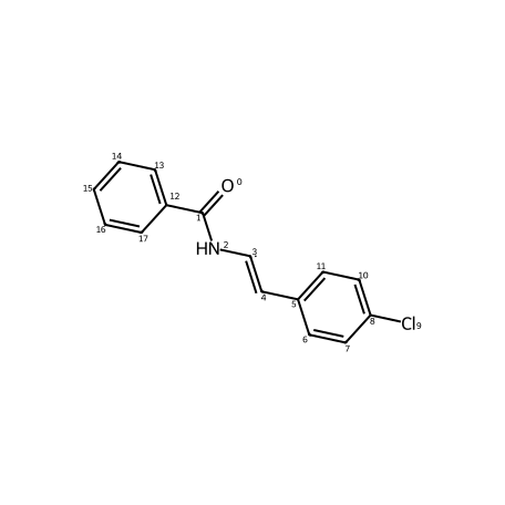 O=C(N[C]=Cc1ccc(Cl)cc1)c1ccccc1